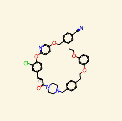 CCOc1cccc(OCCc2ccc(CN3CCN(C(=O)/C=C/c4ccc(Oc5ccc(OCc6ccc(C#N)cc6)cn5)c(Cl)c4)CC3)cc2)c1